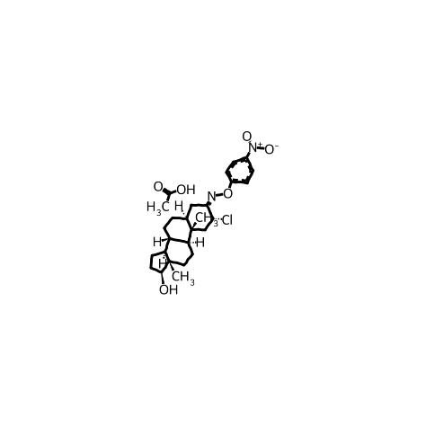 CC(=O)O.C[C@]12C[C@@H](Cl)/C(=N\Oc3ccc([N+](=O)[O-])cc3)C[C@@H]1CC[C@@H]1[C@@H]2CC[C@]2(C)[C@@H](O)CC[C@@H]12